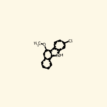 COc1cc2ccccc2c2[nH]c3cc(Cl)ccc3c12